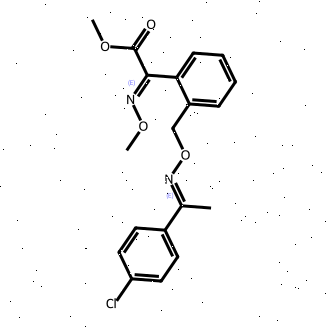 CO/N=C(/C(=O)OC)c1ccccc1CO/N=C(\C)c1ccc(Cl)cc1